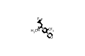 C=N/N=C(/CC1CC1(F)F)N1C=CC(N2CCOCC2)=C(C(F)(F)F)C1